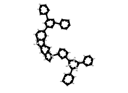 c1ccc(-c2cc(-c3ccccc3)cc(-c3ccc4sc5cc6ccn(-c7cccc(-c8nc(-c9ccccc9)nc(-c9ccccc9)n8)c7)c6cc5c4c3)c2)cc1